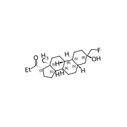 CCC(=O)[C@H]1CC[C@H]2[C@@H]3CC[C@H]4C[C@@](O)(CF)CC[C@@H]4[C@H]3CC[C@]12C